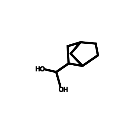 O[C](O)C1CC2CCC1C2